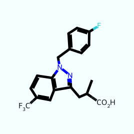 CC(Cc1nn(Cc2ccc(F)cc2)c2ccc(C(F)(F)F)cc12)C(=O)O